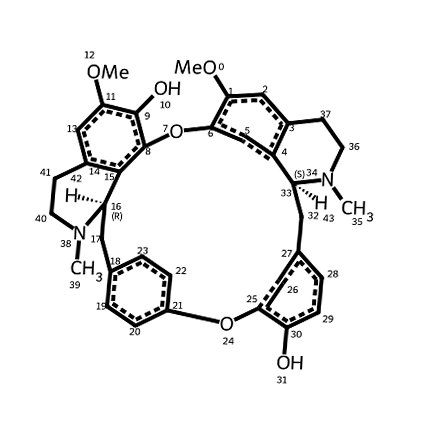 COc1cc2c3cc1Oc1c(O)c(OC)cc4c1[C@@H](Cc1ccc(cc1)Oc1cc(ccc1O)C[C@@H]3N(C)CC2)N(C)CC4